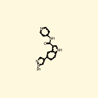 CC(C)n1cc(-c2ccc3[nH]cc(C(=O)Nc4ccncc4)c3c2)cn1